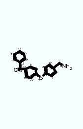 NCc1ccc(Sc2ccc(C(=O)c3ccccc3)cc2)cc1